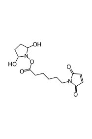 O=C(CCCCCN1C(=O)C=CC1=O)ON1C(O)CCC1O